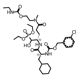 CCNC(=O)OCCN(C)C(=O)CC[C@H](NC(=O)[C@H](CC1CCCCC1)NC(=O)OCc1cccc(Cl)c1)C(O)P(=O)(OCC)OCC